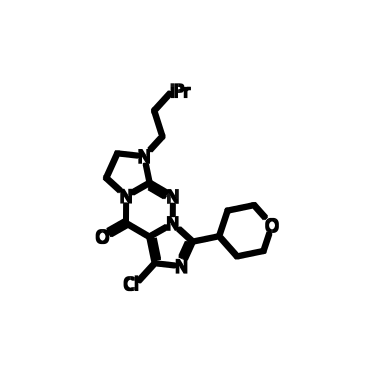 CC(C)CCN1CCn2c1nn1c(C3CCOCC3)nc(Cl)c1c2=O